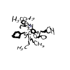 C#CCN1C(=O)COc2cc(F)c(/N=c3\snc4n3CC(C)(C)C4)cc21.CCCN(CCC)C(=O)SCc1ccccc1